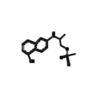 CC(COS(C)(=O)=O)Nc1ccc2c(C#N)cccc2c1